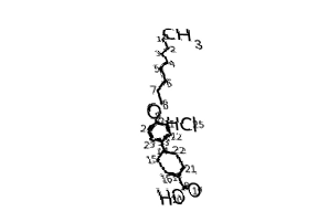 CCCCCCCCCOc1ccc(C2CCC(C(=O)O)CC2)cc1.Cl